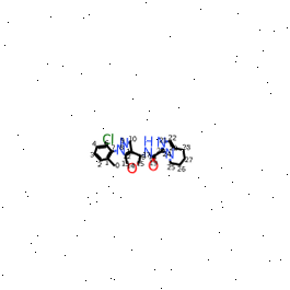 Cc1cccc(Cl)c1-n1ncc2c1COC[C@H]2NC(=O)c1ncc2n1CCCC2